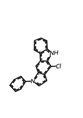 Clc1c2ccn(-c3ccccc3)c2cc2c1[nH]c1ccccc12